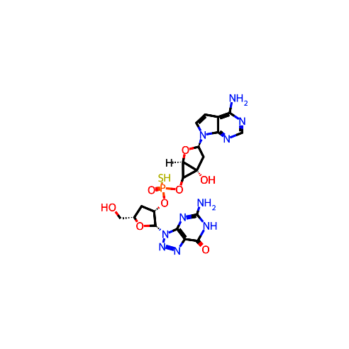 Nc1nc2c(nnn2[C@@H]2O[C@H](CO)C[C@@H]2OP(=O)(S)OC2[C@H]3O[C@@H](n4ccc5c(N)ncnc54)C[C@@]23O)c(=O)[nH]1